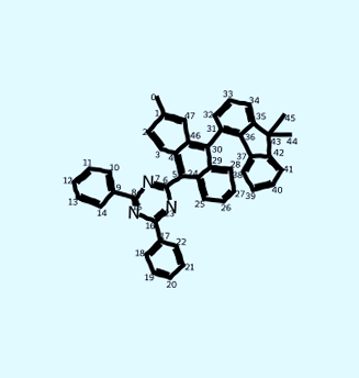 Cc1ccc2c(-c3nc(-c4ccccc4)nc(-c4ccccc4)n3)c3ccccc3c(-c3cccc4c3-c3ccccc3C4(C)C)c2c1